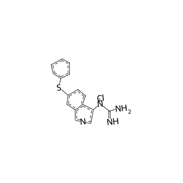 N=C(N)N(Cl)c1cncc2cc(Sc3ccccc3)ccc12